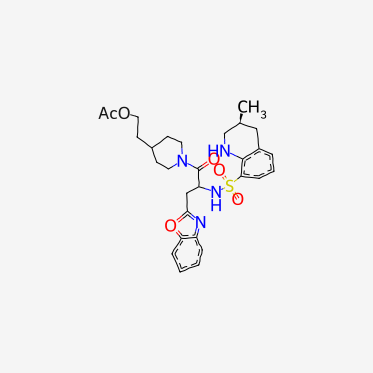 CC(=O)OCCC1CCN(C(=O)C(Cc2nc3ccccc3o2)NS(=O)(=O)c2cccc3c2NC[C@@H](C)C3)CC1